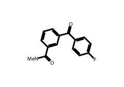 CNC(=O)c1cccc(C(=O)c2ccc(F)cc2)c1